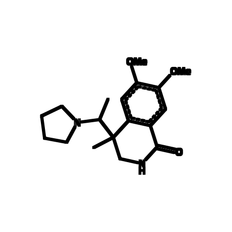 COc1cc2c(cc1OC)C(C)(C(C)N1CCCC1)CNC2=O